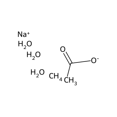 C.CC(=O)[O-].O.O.O.[Na+]